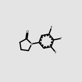 O=C1CCCN1c1cc(F)c(F)c(F)c1